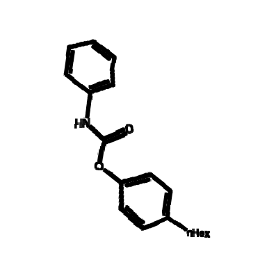 CCCCCCc1ccc(OC(=O)Nc2ccccc2)cc1